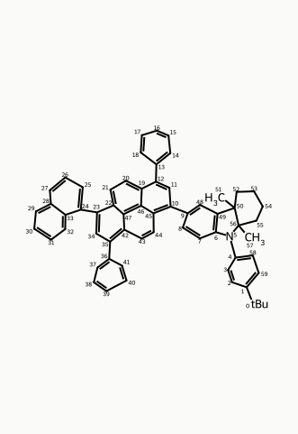 CC(C)(C)c1ccc(N2c3ccc(-c4cc(-c5ccccc5)c5ccc6c(-c7cccc8ccccc78)cc(-c7ccccc7)c7ccc4c5c76)cc3C3(C)CCCCC23C)cc1